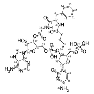 C=CCCC(=O)N[C@@H](Cc1ccccc1)C(=O)NCC(=O)OC1[C@@H](COP(=O)(O)O[C@@H]2C[C@H](n3ccc(N)nc3=O)O[C@@H]2COP(=O)(O)O)O[C@@H](n2cnc3c(N)ncnc32)[C@H]1O